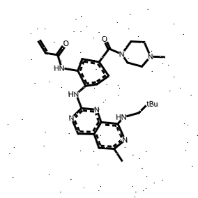 C=CC(=O)Nc1cc(C(=O)N2CCN(C)CC2)ccc1Nc1ncc2cc(C)nc(NCC(C)(C)C)c2n1